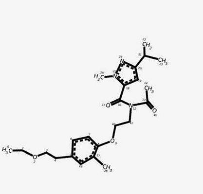 CCOCCc1ccc(OCCN(C(C)=O)C(=O)c2cc(C(C)C)nn2C)c(C)c1